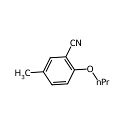 CCCOc1ccc(C)cc1C#N